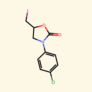 O=C1OC(CI)CN1c1ccc(Cl)cc1